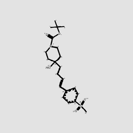 CC(C)(C)OC(=O)N1CCC(O)(CCC=Cc2ccc(S(C)(=O)=O)cc2)CC1